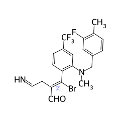 Cc1ccc(CN(C)c2cc(C(F)(F)F)ccc2/C(Br)=C(/C=O)CC=N)cc1F